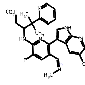 C/N=C\c1cc(F)c(NC(CC(=O)O)C(C)(C)c2ccccn2)nc1-c1c[nH]c2ncc(Cl)cc12